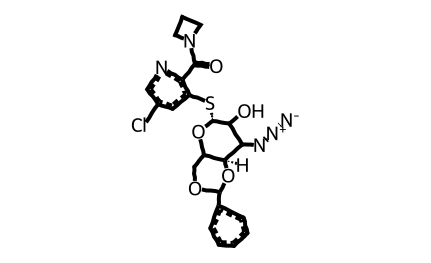 [N-]=[N+]=NC1C(O)[C@@H](Sc2cc(Cl)cnc2C(=O)N2CCC2)OC2COC(c3ccccc3)O[C@@H]21